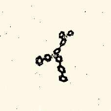 c1ccc(-c2ccc(-c3ccc4c5cc(-c6ccc7c(c6)c6ccccc6n7-c6ccccc6)ccc5n(-c5ccc(-c6ccccc6)cc5)c4c3)cc2)cc1